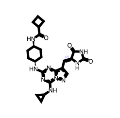 O=C1NC(=O)/C(=C/c2cnn3c(NC4CC4)nc(N[C@H]4CC[C@H](NC(=O)C5CCC5)CC4)nc23)N1